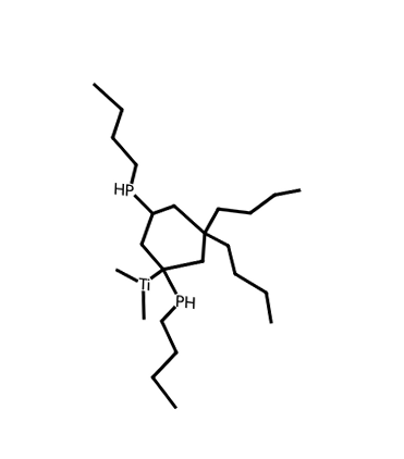 CCCCPC1CC(CCCC)(CCCC)C[C](PCCCC)([Ti]([CH3])[CH3])C1